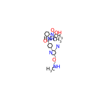 CNCCOCc1cnc(-c2ccc(C(=O)Nc3ccccc3N(C(=O)O)C(C)(C)C)cc2)c(C#N)c1